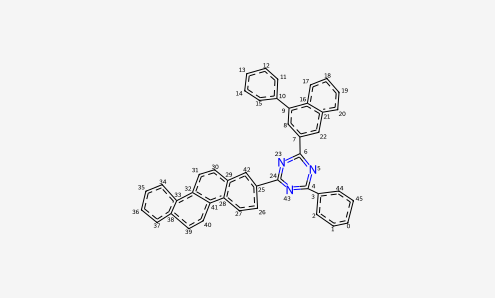 c1ccc(-c2nc(-c3cc(-c4ccccc4)c4ccccc4c3)nc(-c3ccc4c(ccc5c6ccccc6ccc45)c3)n2)cc1